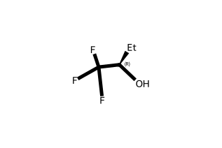 [CH2]C[C@@H](O)C(F)(F)F